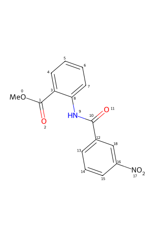 COC(=O)c1ccccc1NC(=O)c1cccc([N+](=O)[O-])c1